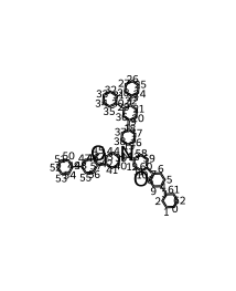 c1ccc(-c2ccc3c(c2)oc2cc(N(c4ccc(-c5ccc(-c6ccccc6)c(-c6ccccc6)c5)cc4)c4ccc5c(c4)oc4cc(-c6ccccc6)ccc45)ccc23)cc1